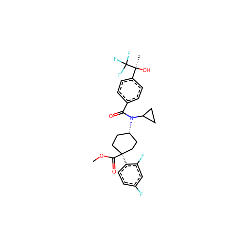 COC(=O)[C@]1(c2ccc(F)cc2F)CC[C@@H](N(C(=O)c2ccc([C@](C)(O)C(F)(F)F)cc2)C2CC2)CC1